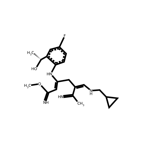 COC(=N)/C=C(/C/C(=C/NCC1CC1)C(C)=N)Nc1ccc(F)cc1[C@@H](C)O